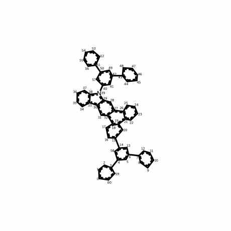 c1ccc(-c2cc(-c3ccccc3)cc(-c3ccc4c(c3)c3ccccc3c3cc5c(cc43)c3ccccc3n5-c3cc(-c4ccccc4)cc(-c4ccccc4)c3)c2)cc1